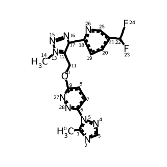 Cc1ncnn1-c1ccc(OCC2=[N+](C)N=NC2c2ccc(C(F)F)cn2)nn1